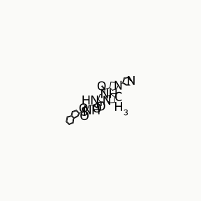 CC1CCN(C(=O)C(CNC(=O)C2CCN(c3ccncc3)CC2)NC(=O)CNS(=O)(=O)c2ccc3ccccc3c2)CC1